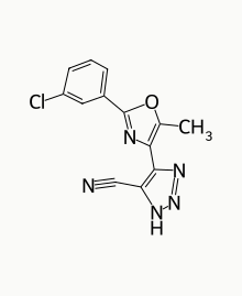 Cc1oc(-c2cccc(Cl)c2)nc1-c1nn[nH]c1C#N